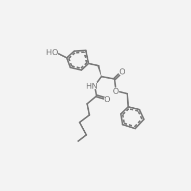 CCCCCC(=O)N[C@@H](Cc1ccc(O)cc1)C(=O)OCc1ccccc1